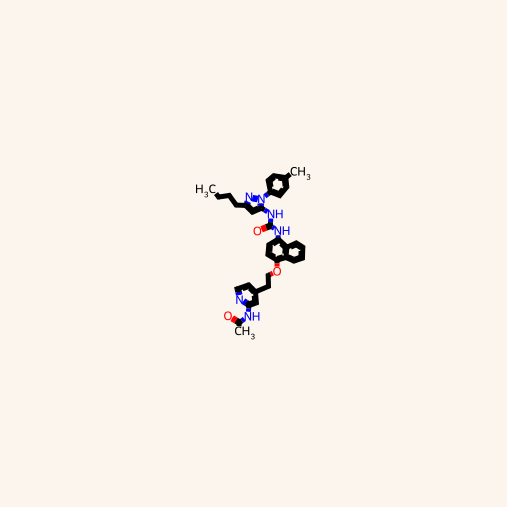 CCCCc1cc(NC(=O)Nc2ccc(OCCc3ccnc(NC(C)=O)c3)c3ccccc23)n(-c2ccc(C)cc2)n1